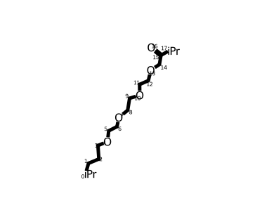 CC(C)CCCOCCOCCOCCOCC(=O)C(C)C